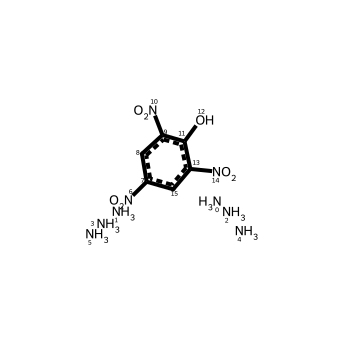 N.N.N.N.N.N.O=[N+]([O-])c1cc([N+](=O)[O-])c(O)c([N+](=O)[O-])c1